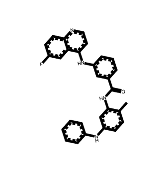 Cc1ccc(Nc2ccccc2)cc1NC(=O)c1cccc(Nc2ccnc3ccc(F)cc23)c1